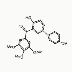 COc1cc(C(=O)c2cc(-c3ccc(O)cc3)ccc2O)cc(OC)c1OC